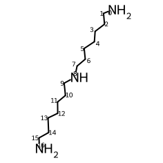 NCCCCCCCNCCCCCCCN